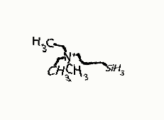 CC[N+](C)(CC)CCC[SiH3]